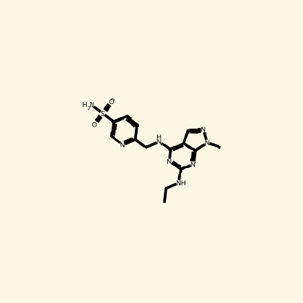 CCNc1nc(NCc2ccc(S(N)(=O)=O)cn2)c2cnn(C)c2n1